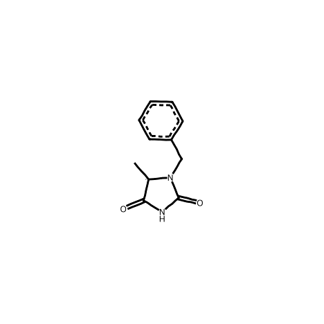 C[C]1C(=O)NC(=O)N1Cc1ccccc1